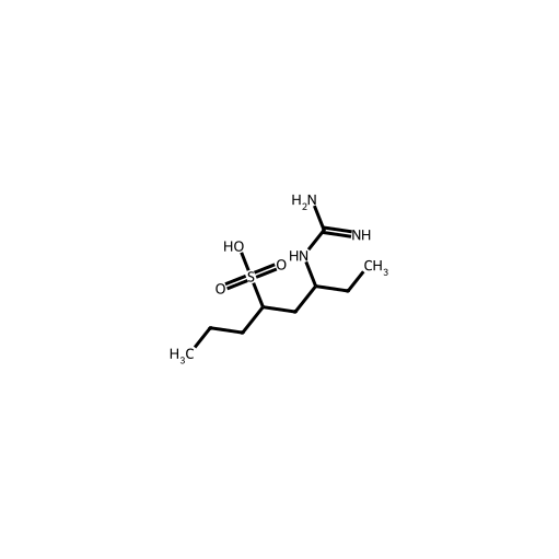 CCCC(CC(CC)NC(=N)N)S(=O)(=O)O